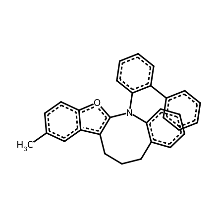 Cc1ccc2oc3c(c2c1)CCCc1ccccc1N3c1ccccc1-c1ccccc1